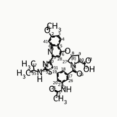 COc1ccc2c(O[C@@H]3C[C@@H](C(=O)O)N(C(=O)c4cccc(NC(C)=O)c4)C3)cc(-c3csc(NC(C)C)n3)nc2c1